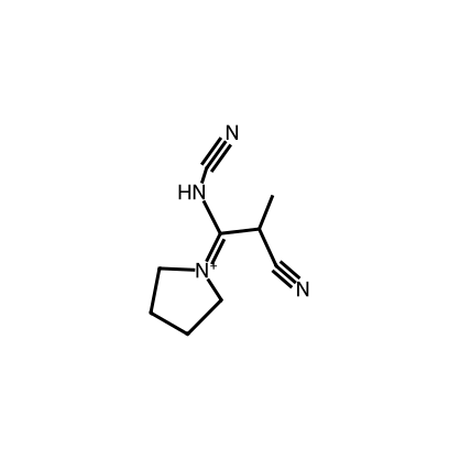 CC(C#N)C(NC#N)=[N+]1CCCC1